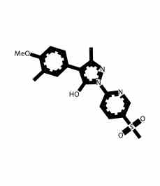 COc1ccc(-c2c(C)nn(-c3ccc(S(C)(=O)=O)cn3)c2O)cc1C